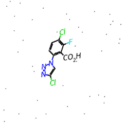 O=C(O)c1c(-n2cc(Cl)nn2)ccc(Cl)c1F